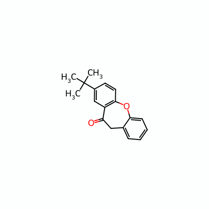 CC(C)(C)c1ccc2c(c1)C(=O)Cc1ccccc1O2